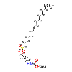 CC(C)(CCNC(=O)OC(C)(C)C)COS(=O)(=O)CCCCCCCCCCCCCCCC(=O)O